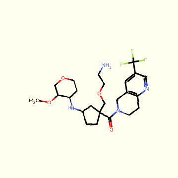 COC1COCCC1NC1CCC(COCCN)(C(=O)N2CCc3ncc(C(F)(F)F)cc3C2)C1